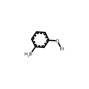 Bc1cccc(OCC)c1